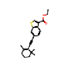 CCOC(=O)c1csc2cc(C#CC3=C(C)CCCC3(C)C)ccc12